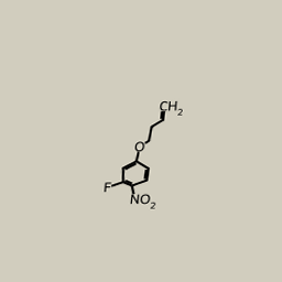 C=CCCOc1ccc([N+](=O)[O-])c(F)c1